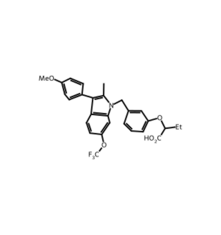 CCC(Oc1cccc(Cn2c(C)c(-c3ccc(OC)cc3)c3ccc(OC(F)(F)F)cc32)c1)C(=O)O